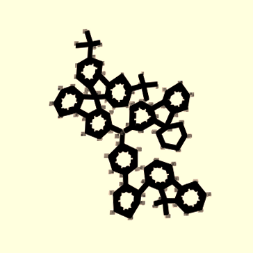 CC(C)(C)c1ccc2c(c1)-c1cc(C(C)(C)C)ccc1C21c2ccccc2-c2ccc(N(c3ccc(-c4ccccc4-c4cccc5c4C(C)(C)c4ccccc4-5)cc3)c3ccc4c(c3)C3(CCCCC3)c3ccccc3-4)cc21